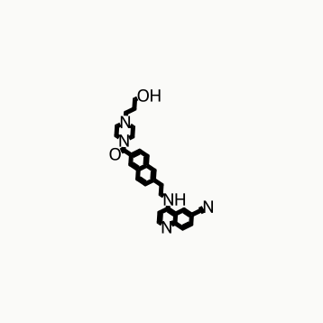 N#Cc1ccc2nccc(NCCc3ccc4cc(C(=O)N5CCN(CCCO)CC5)ccc4c3)c2c1